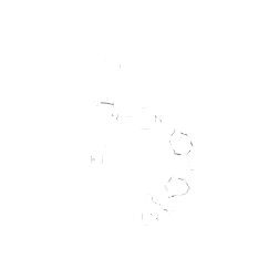 CCCCN(C(=O)CC1CCCCC1)C1CCN(Cc2ccc(Oc3ccc(S(N)(=O)=O)cc3)cc2)CC1.Cl